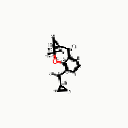 CC(c1cccc([C@@H](C)C2CC2)c1OC(C)(C)C)C1CC1